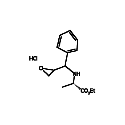 CCOC(=O)[C@H](C)NC(c1ccccc1)C1CO1.Cl